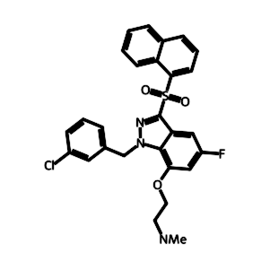 CNCCOc1cc(F)cc2c(S(=O)(=O)c3cccc4ccccc34)nn(Cc3cccc(Cl)c3)c12